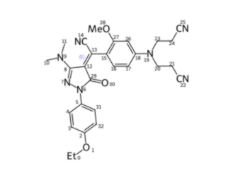 CCOc1ccc(N2N=C(N(C)C)/C(=C(\C#N)c3ccc(N(CCC#N)CCC#N)cc3OC)C2=O)cc1